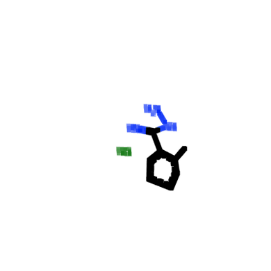 Cc1ccccc1C(=N)NN.Cl